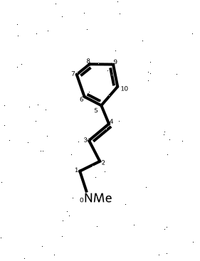 CNCC/C=C/c1ccccc1